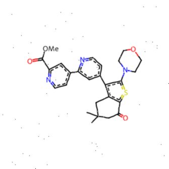 COC(=O)c1cc(-c2cc(-c3c(N4CCOCC4)sc4c3CC(C)(C)CC4=O)ccn2)ccn1